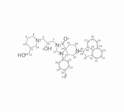 O=C1N(CC(O)CN2CCCC(CO)C2)CN(c2ccc(F)cc2)C12CCN([C@@H]1Cc3cccc4cccc1c34)CC2